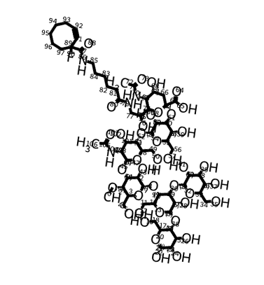 CO[C@@H]1C(CO)O[C@H](O[C@H]2C(CO)O[C@@H](O[C@@H]3C(CO)O[C@@H](O)[C@@H](O)C3O)[C@@H](O)C2O[C@@H]2OC(CO)[C@@H](O)C(O)[C@@H]2O)C(O)[C@H]1O[C@@H]1OC(CO)[C@@H](O[C@@H]2OC(CO)[C@H](O)C(O[C@@]3(C(=O)O)C[C@@H](O)[C@H](NC(C)=O)C(C(O)CNC(=O)CCCCCNC(=O)C4(F)C#CCCCCC4)O3)[C@@H]2O)C(O)[C@@H]1NC(C)=O